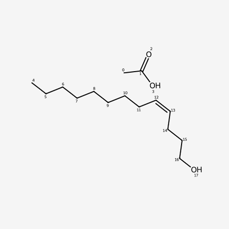 CC(=O)O.CCCCCCCC/C=C\CCCO